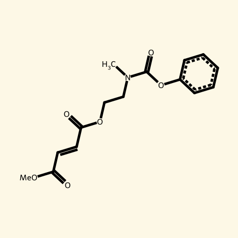 COC(=O)/C=C/C(=O)OCCN(C)C(=O)Oc1ccccc1